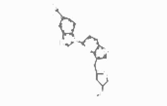 COC1CNC(Cc2c[nH]c3ccc(-n4cnc5cc(C#N)ccc54)cc23)C1